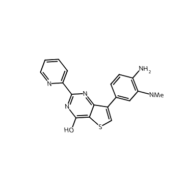 CNc1cc(-c2csc3c(O)nc(-c4ccccn4)nc23)ccc1N